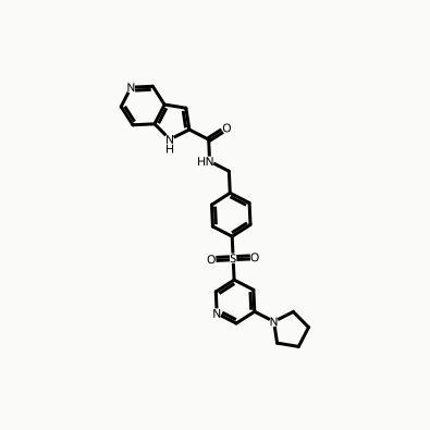 O=C(NCc1ccc(S(=O)(=O)c2cncc(N3CCCC3)c2)cc1)c1cc2cnccc2[nH]1